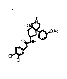 CC(=O)Oc1cccc(C23CCN(C)CC2(O)CC[C@H](NC(=O)Cc2ccc(Cl)c(Cl)c2)C3)c1